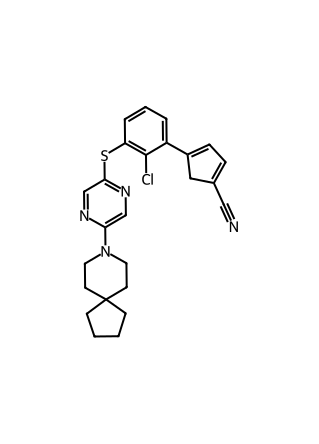 N#CC1=CC=C(c2cccc(Sc3cnc(N4CCC5(CCCC5)CC4)cn3)c2Cl)C1